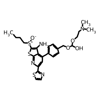 CCCC[S+]([O-])c1sc2nc(-c3nccs3)cc(-c3ccc(COC(O)OCCN(C)C)cc3)c2c1N